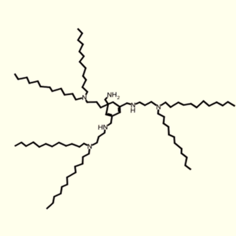 CCCCCCCCCCCCN(CCCCCCCCCCCC)CCCNCC1=CC(CN)(CCCN(CCCCCCCCCCCC)CCCCCCCCCCCC)CC(CNCCCN(CCCCCCCCCCCC)CCCCCCCCCCCC)=C1